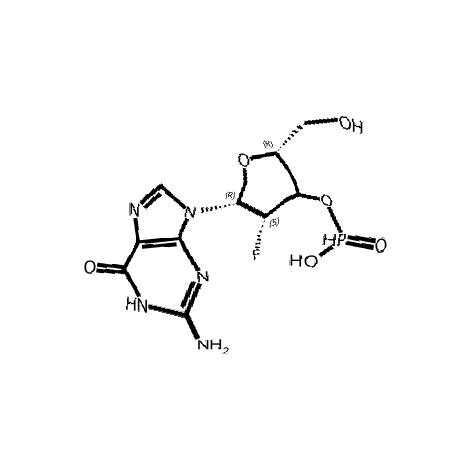 Nc1nc2c(ncn2[C@@H]2O[C@H](CO)C(O[PH](=O)O)[C@@H]2F)c(=O)[nH]1